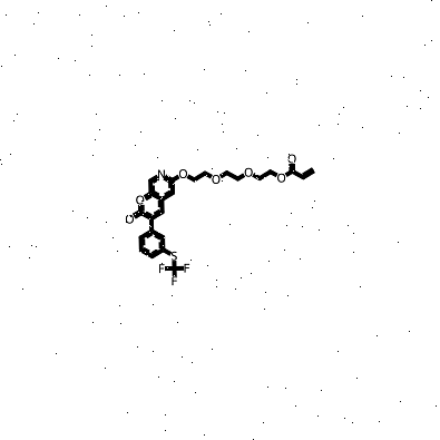 C=CC(=O)OCCOCCOCCOc1cc2cc(-c3cccc(SC(F)(F)F)c3)c(=O)oc2cn1